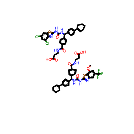 COc1cc(C(F)(F)F)cc2nc(NC(=O)NC(c3ccc(C(=O)NCCC(=O)O)cc3)c3ccc(C4=CCCCC4)cc3)sc12.O=C(O)CCNC(=O)c1ccc(C(NC(=O)Nc2nc3c(Cl)cc(Cl)cc3s2)c2ccc(C3=CCCCC3)cc2)cc1